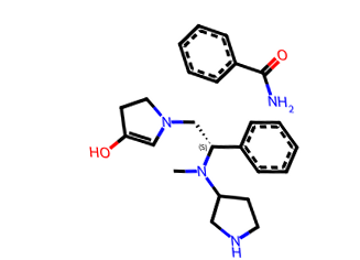 CN(C1CCNC1)[C@H](CN1C=C(O)CC1)c1ccccc1.NC(=O)c1ccccc1